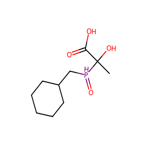 CC(O)(C(=O)O)[PH](=O)CC1CCCCC1